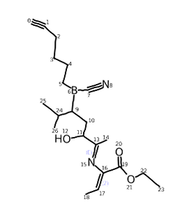 C#CCCCCB(C#N)C(CC(O)/C(C)=N/C(=C\C)C(=O)OCC)C(C)C